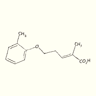 CC(=CCCOc1ccccc1C)C(=O)O